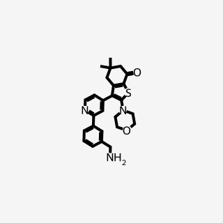 CC1(C)CC(=O)c2sc(N3CCOCC3)c(-c3ccnc(-c4cccc(CN)c4)c3)c2C1